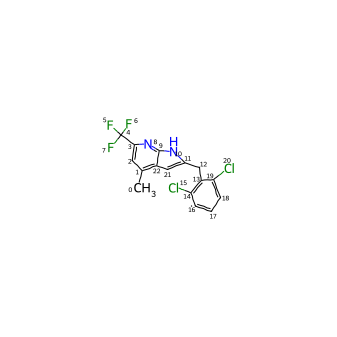 Cc1cc(C(F)(F)F)nc2[nH]c(Cc3c(Cl)[c]ccc3Cl)cc12